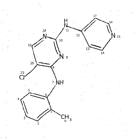 Cc1ccccc1Nc1nc(Nc2ccncc2)ncc1Cl